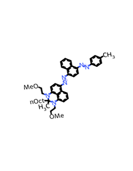 CCCCCCCCC1(C)N(CCOC)c2cccc3c(/N=N/c4ccc(/N=N/c5ccc(C)cc5)c5ccccc45)ccc(c23)N1CCOC